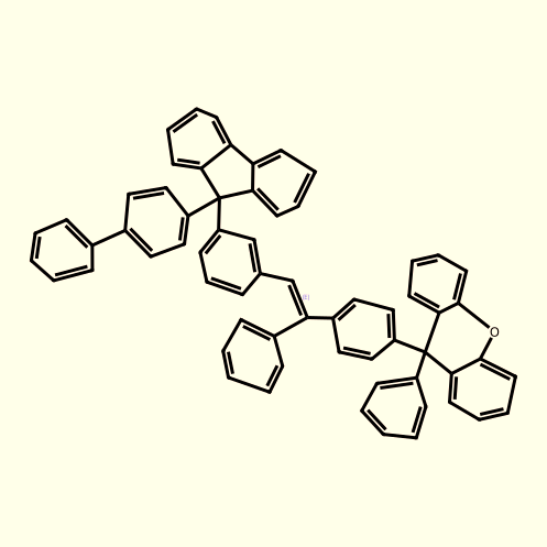 C(=C(/c1ccccc1)c1ccc(C2(c3ccccc3)c3ccccc3Oc3ccccc32)cc1)/c1cccc(C2(c3ccc(-c4ccccc4)cc3)c3ccccc3-c3ccccc32)c1